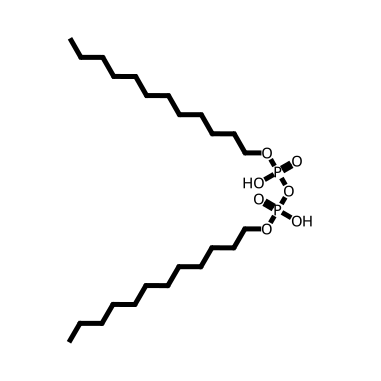 CCCCCCCCCCCCOP(=O)(O)OP(=O)(O)OCCCCCCCCCCCC